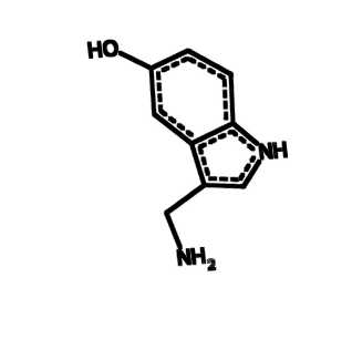 NCc1c[nH]c2ccc(O)cc12